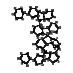 C=c1c2cccc3cccc4c5ccc(-c6ccccc6)cc5n(c5cccc(c15)C21c2ccccc2-c2c(-n5c6ccccc6c6ccc(-c7ccccc7)cc65)cccc21)c34